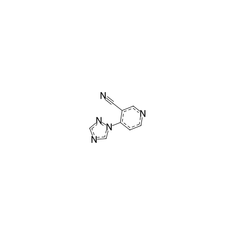 N#Cc1cnccc1-n1cncn1